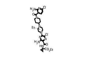 CCOC(=O)C1(NC(=O)c2nc(Cl)c(N3CCN(C4CCN(C(=O)c5ccc(Cl)nc5N)CC4)[C@@H](CC)C3)nc2N)CC1